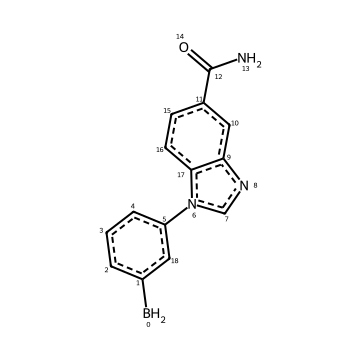 Bc1cccc(-n2cnc3cc(C(N)=O)ccc32)c1